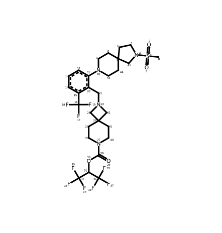 CS(=O)(=O)N1CCC2(CCN(c3cccc(C(F)(F)F)c3CN3CC4(CCN(C(=O)OC(C(F)(F)F)C(F)(F)F)CC4)C3)CC2)C1